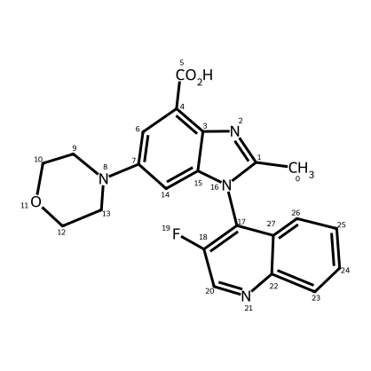 Cc1nc2c(C(=O)O)cc(N3CCOCC3)cc2n1-c1c(F)cnc2ccccc12